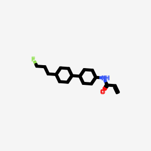 C=CC(=O)NC1CCC(C2CCC(CCCF)CC2)CC1